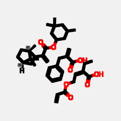 C=C(C(=O)OC1CC(C)CC(C)(C)C1)C1C[C@H]2CC[C@@]1(C)C2(C)C.C=C(Cc1ccccc1)C(=O)O.C=CC(=O)OCC=C(CC)C(=O)O